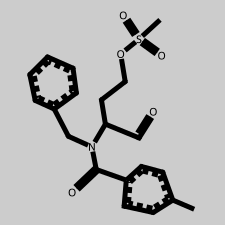 Cc1ccc(C(=O)N(Cc2ccccc2)C(C=O)CCOS(C)(=O)=O)cc1